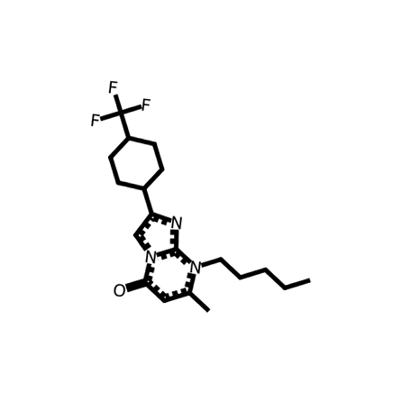 CCCCCn1c(C)cc(=O)n2cc(C3CCC(C(F)(F)F)CC3)nc12